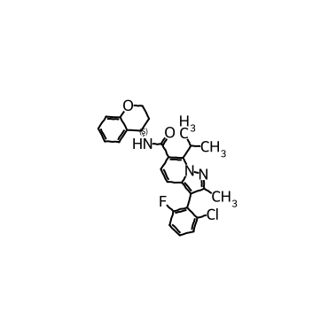 Cc1nn2c(C(C)C)c(C(=O)N[C@H]3CCOc4ccccc43)ccc2c1-c1c(F)cccc1Cl